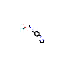 CC(NCc1ccc(CN2CCCC2)cc1)OC(=O)C(F)(F)F